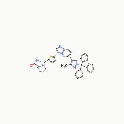 Cc1nn(C(c2ccccc2)(c2ccccc2)c2ccccc2)cc1-c1ccc2ncc(-c3ccc(CN4CCC[C@H]4C(N)=O)s3)n2c1